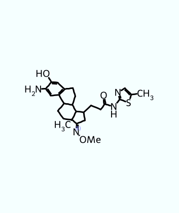 CO/N=C1\CC(CCC(=O)Nc2ncc(C)s2)C2C3CCc4cc(O)c(N)cc4C3CCC12C